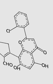 O=CC1=C(c2c(O)cc(O)c3c(=O)cc(-c4ccccc4Cl)oc23)CCC1